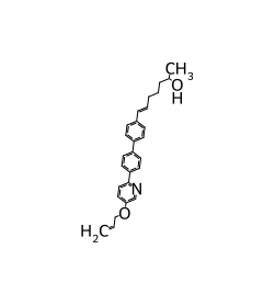 C=CCOc1ccc(-c2ccc(-c3ccc(C=CCCCC(C)O)cc3)cc2)nc1